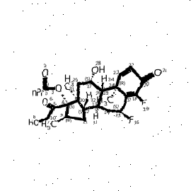 CCCC(=O)O[C@@]1(C(=O)CO)[C@H](C)C[C@H]2[C@@H]3C[C@H](F)C4=C(F)C(=O)C=C[C@]4(C)[C@H]3[C@@H](O)C[C@@]21C